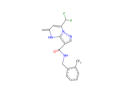 C=C1C=C(C(F)F)n2ncc(C(=O)NCc3ccccc3C(F)(F)F)c2N1